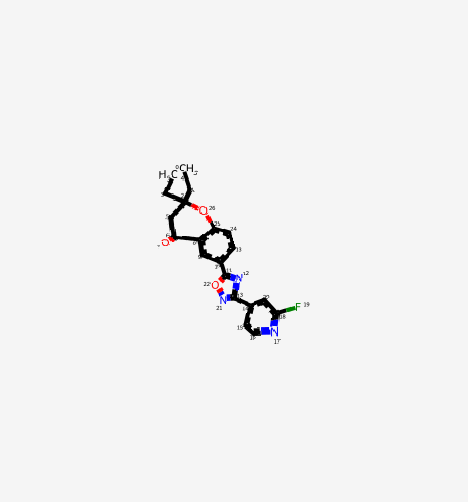 CCC1(CC)CC(=O)c2cc(-c3nc(-c4ccnc(F)c4)no3)ccc2O1